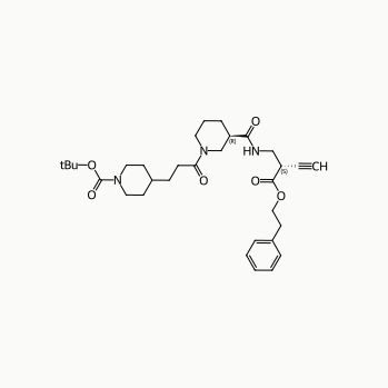 C#C[C@@H](CNC(=O)[C@@H]1CCCN(C(=O)CCC2CCN(C(=O)OC(C)(C)C)CC2)C1)C(=O)OCCc1ccccc1